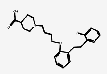 O=C(O)C1CCN(CCCCOc2ccccc2CCc2ccccc2F)CC1